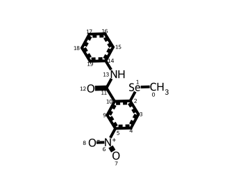 C[Se]c1ccc([N+](=O)[O-])cc1C(=O)Nc1ccccc1